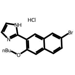 CCCCOc1cc2ccc(Br)cc2cc1-c1ncc[nH]1.Cl